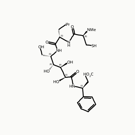 CN[C@@H](CS)C(=O)N[C@@H](CC(C)C)C(=O)N[C@@H](CO)[C@@H](O)[C@@H](O)[C@H](O)C(=O)N[C@@H](CC(=O)O)c1ccccc1